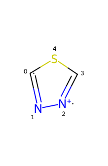 [C]1=N[N+]=CS1